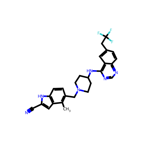 Cc1c(CN2CCC(Nc3ncnc4ccc(CC(F)(F)F)cc34)CC2)ccc2[nH]c(C#N)cc12